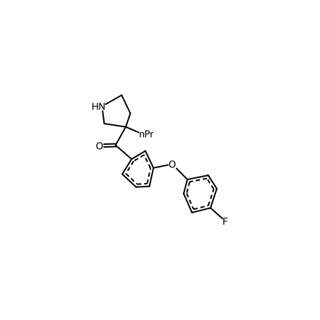 CCCC1(C(=O)c2cccc(Oc3ccc(F)cc3)c2)CCNC1